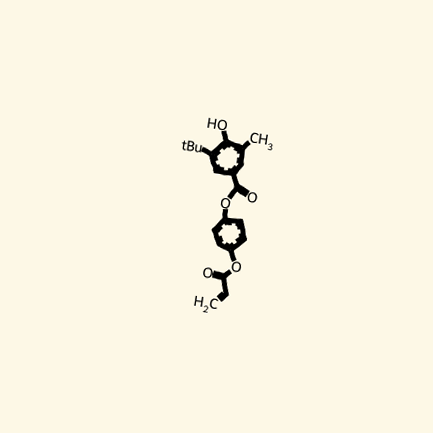 C=CC(=O)Oc1ccc(OC(=O)c2cc(C)c(O)c(C(C)(C)C)c2)cc1